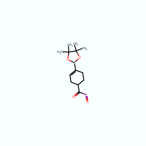 CC1(C)OB(C2=CCC(C(=O)P=O)CC2)OC1(C)C